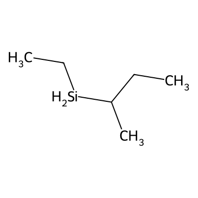 CC[SiH2]C(C)CC